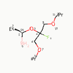 B[C@@H](CC)OC(F)(COC(C)C)COC(C)C